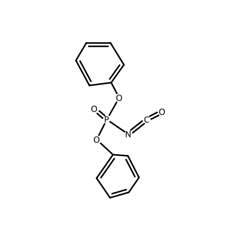 O=C=NP(=O)(Oc1ccccc1)Oc1ccccc1